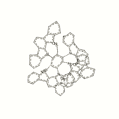 N#Cc1c(-n2c3ccccc3c3ccc4c5ccccc5oc4c32)c(C#N)c(-n2c3ccccc3c3ccc4c5ccccc5oc4c32)c(-n2c3ccccc3c3ccc4c5ccccc5oc4c32)c1-n1c2ccccc2c2ccc3c4ccccc4oc3c21